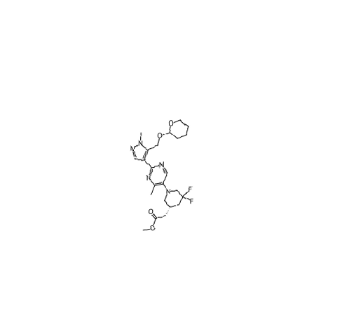 COC(=O)C[C@@H]1CN(c2cnc(-c3cnn(C)c3COC3CCCCO3)nc2C)CC(F)(F)C1